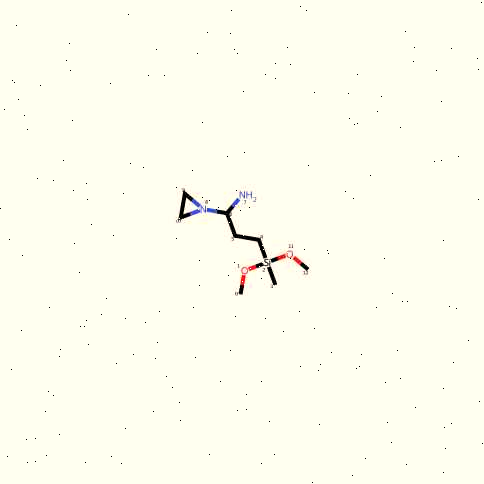 CO[Si](C)(CCC(N)N1CC1)OC